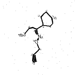 C=CCON=C(CC(C)(C)C)C1CCCC1